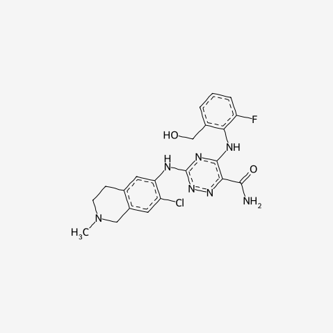 CN1CCc2cc(Nc3nnc(C(N)=O)c(Nc4c(F)cccc4CO)n3)c(Cl)cc2C1